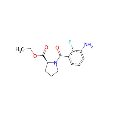 CCOC(=O)[C@@H]1CCCN1C(=O)c1cccc(N)c1F